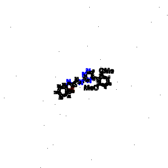 COc1cccc(OC)c1-c1cnnc([N]Cc2nc3ccccc3s2)n1